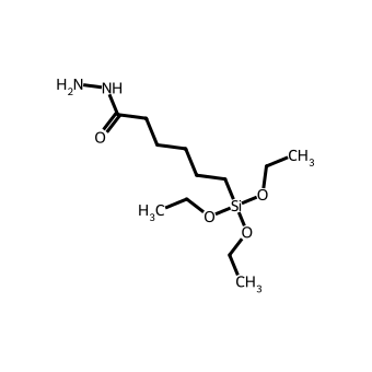 CCO[Si](CCCCCC(=O)NN)(OCC)OCC